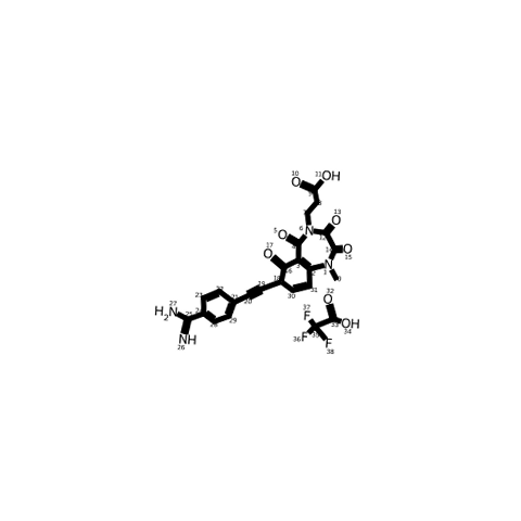 Cn1c2c(c(=O)n(CCC(=O)O)c(=O)c1=O)C(=O)C(C#Cc1ccc(C(=N)N)cc1)C=C2.O=C(O)C(F)(F)F